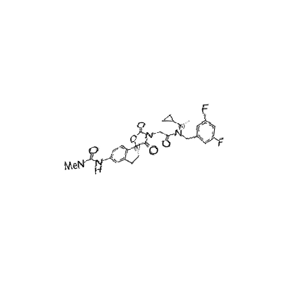 CNC(=O)Nc1ccc2c(c1)CC[C@@]21OC(=O)N(CC(=O)N(Cc2cc(F)cc(F)c2)[C@@H](C)C2CC2)C1=O